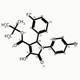 CC(C)(C)OC(=O)C1=C(O)C(=O)N(c2ccc(Br)cn2)C1c1cccc(F)c1